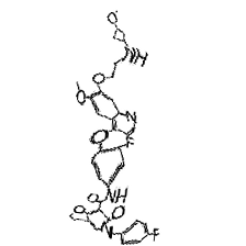 COc1cc2c(Oc3ccc(NC(=O)c4c5c(cn(-c6ccc(F)cc6)c4=O)CCO5)cc3F)ccnc2cc1OCCNC1CC(OC)C1